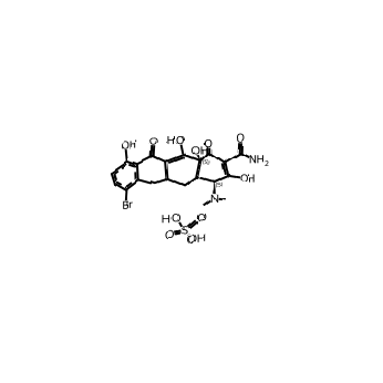 CN(C)[C@@H]1C(O)=C(C(N)=O)C(=O)[C@@]2(O)C(O)=C3C(=O)c4c(O)ccc(Br)c4CC3CC12.O=S(=O)(O)O